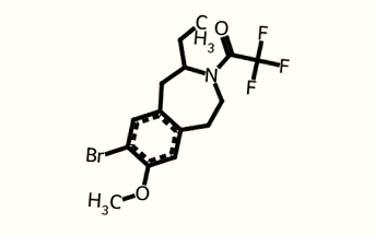 CCC1Cc2cc(Br)c(OC)cc2CCN1C(=O)C(F)(F)F